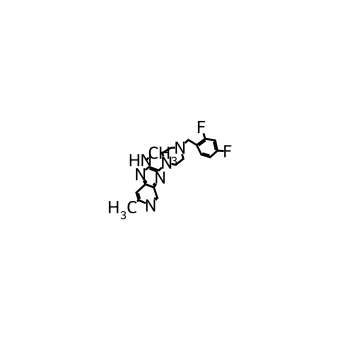 CNc1nc2cc(C)ncc2nc1N1CCN(Cc2ccc(F)cc2F)CC1